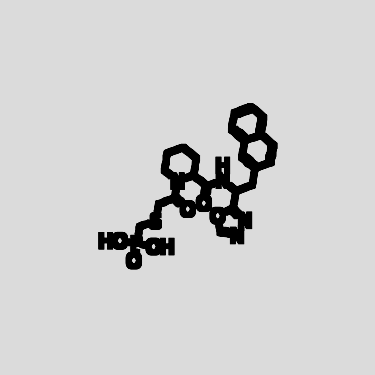 O=C(NC(Cc1ccc2ccccc2c1)c1nnco1)C1CCCCN1C(=O)CSCP(=O)(O)O